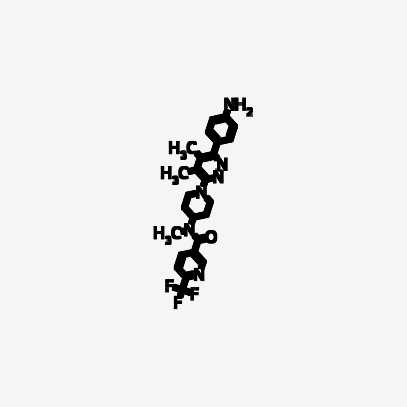 Cc1c(-c2ccc(N)cc2)nnc(N2CCC(N(C)C(=O)c3ccc(C(F)(F)F)nc3)CC2)c1C